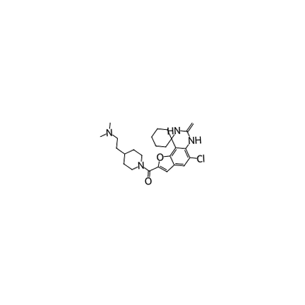 C=C1Nc2c(Cl)cc3cc(C(=O)N4CCC(CCN(C)C)CC4)oc3c2C2(CCCCC2)N1